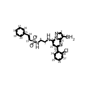 Bc1cnn2c(NCCNS(=O)(=O)/C=C/c3ccccc3)cc(-c3ccccc3Cl)nc12